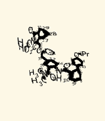 CC(C)Oc1ccc(-c2ccccc2C(=O)Nc2ccc(CC(=O)OC[C@@]3(C(=O)O)c4ccccc4C(=O)N3C)cc2C(=O)N(C)C)cc1